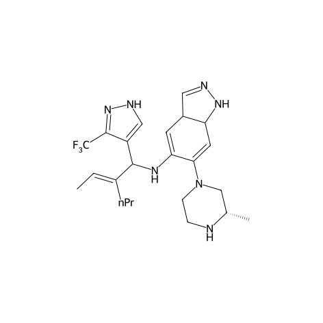 C/C=C(\CCC)C(NC1=CC2C=NNC2C=C1N1CCN[C@@H](C)C1)c1c[nH]nc1C(F)(F)F